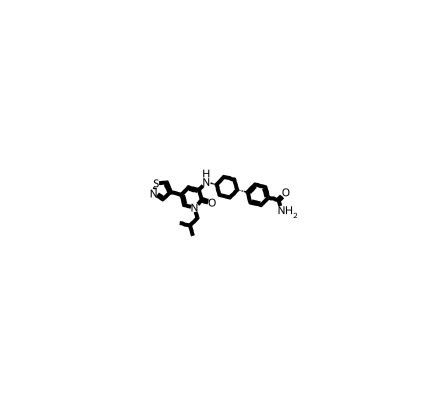 CC(C)Cn1cc(-c2cnsc2)cc(N[C@H]2CC[C@@H](c3ccc(C(N)=O)cc3)CC2)c1=O